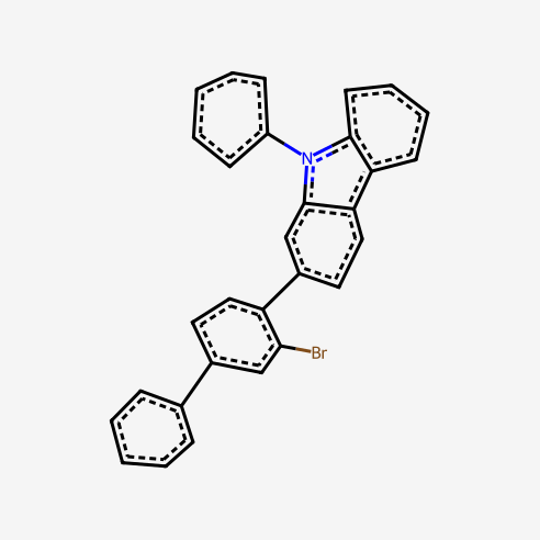 Brc1cc(-c2ccccc2)ccc1-c1ccc2c3ccccc3n(-c3ccccc3)c2c1